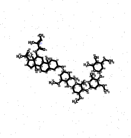 C/C=C(\C)C(=O)OC1CC2C(CC=C3CC(O[C@H]4CC(OC)[C@H](O[C@H]5CC(OC)[C@H](O[C@H]6CC(OC)[C@H](O[C@H]7CC(OC)[C@H](O)C(C)O7)C(C)O6)C(C)O5)C(C)O4)CCC32C)C2(O)CCC(C(C)=O)C12C